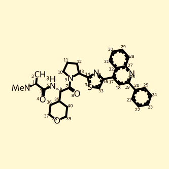 CN[C@@H](C)C(=O)N[C@H](C(=O)N1CCCC1c1nc(-c2cc(-c3ccccc3)nc3ccccc23)cs1)C1CCOCC1